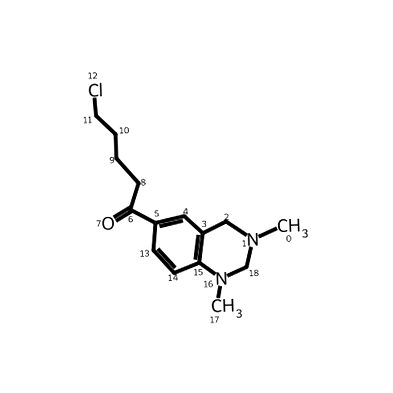 CN1Cc2cc(C(=O)CCCCCl)ccc2N(C)C1